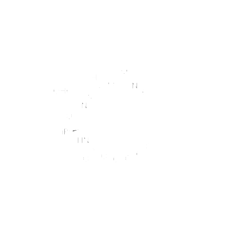 CC(C)[C@@H]1NC(=O)OCCCC/C=C/c2cccc3c2CN(C3)C(=O)O[C@@H]2C[C@@H](C=O)N(C2)C1=O